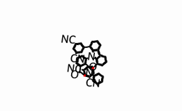 N#Cc1cc(C#N)cc(-c2cccc3c4cccc(-c5cc(C#N)cc(C#N)c5)c4n(-c4cccc5c4C(=O)N(c4ccccc4)CC5=O)c23)c1